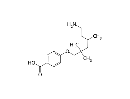 CC(CCN)CC(C)(C)COc1ccc(C(=O)O)cc1